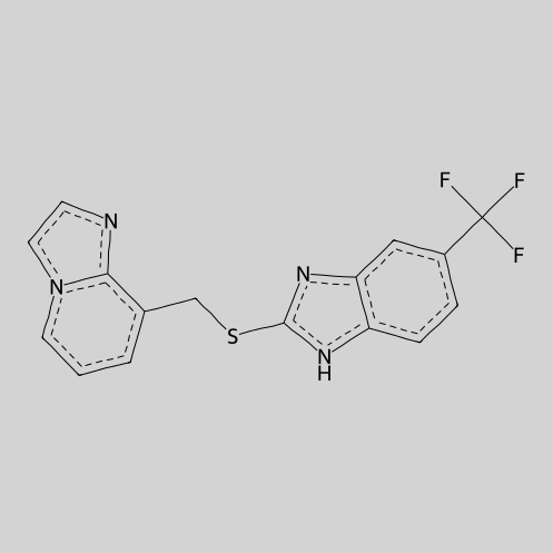 FC(F)(F)c1ccc2[nH]c(SCc3cccn4ccnc34)nc2c1